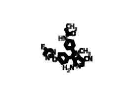 C=CC(=O)Nc1ccc(-c2c(-c3ccc(Oc4ncc(F)cn4)cc3)c3c(N)ncc(C#N)c3n2C)cc1